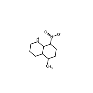 CC1CCC([N+](=O)[O-])C2NCCCC12